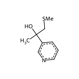 CSCC(C)(O)c1cccnc1